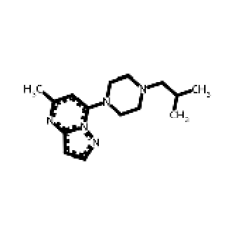 Cc1cc(N2CCN(CC(C)C)CC2)n2nccc2n1